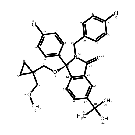 COCC1(CO[C@]2(c3ccc(Cl)cc3)c3ccc(C(C)(C)O)cc3C(=O)N2Cc2ccc(Cl)cc2)CC1